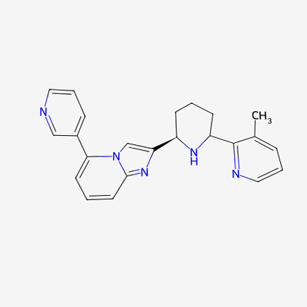 Cc1cccnc1C1CCC[C@H](c2cn3c(-c4cccnc4)cccc3n2)N1